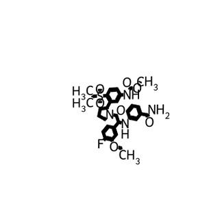 CCOc1cc(C(Nc2cccc(C(N)=O)c2)C(=O)N2CCCC2c2cc(NC(=O)OC)ccc2S(=O)(=O)C(C)C)ccc1F